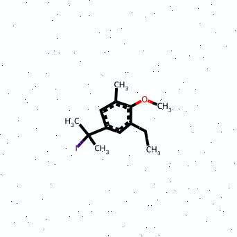 CCc1cc(C(C)(C)I)cc(C)c1OC